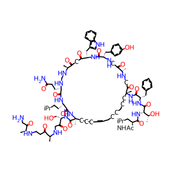 CC(=O)N[C@@H](CC(C)C)C(=O)N[C@H](C(=O)N[C@@H](Cc1ccccc1)C(=O)N[C@]1(C)CCCCCC/C=C\CCC[C@@](C)(C(=O)N[C@@H](CO)C(=O)CN[C@@H](C)C(=O)CCN[C@@H](C)C(=O)CN)NC(=O)[C@H](CCC(C)C)NC(=O)[C@H](CCC(N)=O)NCN[C@@H](C)C(=O)CC(=O)[C@H](Cc2c[nH]c3ccccc23)NC(=O)[C@H](Cc2ccc(O)cc2)NCC(=O)[C@H](C)NCC1=O)[C@@H](C)O